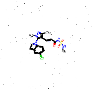 CCCCNS(=O)(=O)NC(=O)/C=C/c1c(C)nn(C)c1-n1ccc2cc(Cl)ccc21